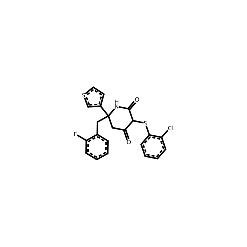 O=C1CC(Cc2ccccc2F)(c2ccsc2)NC(=O)C1Sc1ccccc1Cl